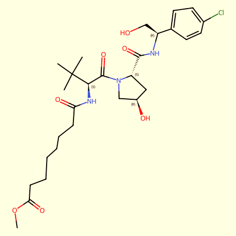 COC(=O)CCCCCCC(=O)N[C@H](C(=O)N1C[C@H](O)C[C@H]1C(=O)N[C@@H](CO)c1ccc(Cl)cc1)C(C)(C)C